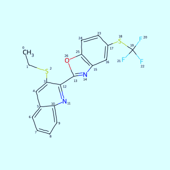 CCSc1cc2ccccc2nc1-c1nc2cc(SC(F)(F)F)ccc2o1